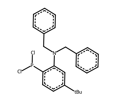 CC(C)(C)c1ccc(P(Cl)Cl)c(N(Cc2ccccc2)Cc2ccccc2)c1